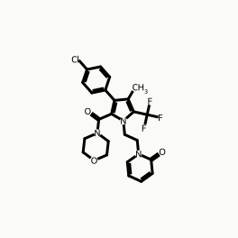 Cc1c(-c2ccc(Cl)cc2)c(C(=O)N2CCOCC2)n(CCn2ccccc2=O)c1C(F)(F)F